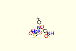 COC(=O)c1scc(C)c1NC(=O)c1nc(-c2ccc(C(C)(C)C)cc2)oc1-c1ccc(NC(C)=O)cc1